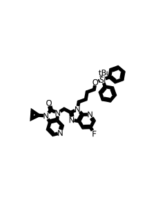 CC(C)(C)[Si](OCCCCn1c(Cn2c(=O)n(C3CC3)c3ccncc32)nc2cc(F)cnc21)(c1ccccc1)c1ccccc1